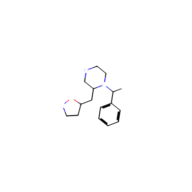 O=C(O)C(c1ccccc1)N1CCNCC1CC1CCNO1